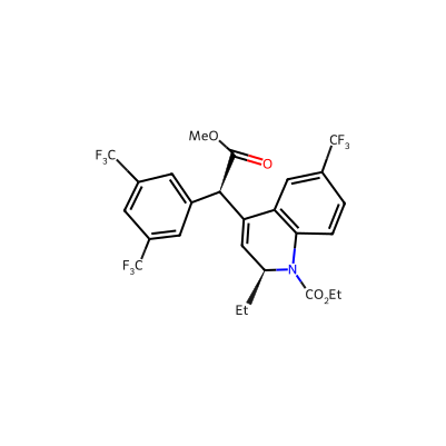 CCOC(=O)N1c2ccc(C(F)(F)F)cc2C([C@H](C(=O)OC)c2cc(C(F)(F)F)cc(C(F)(F)F)c2)=C[C@@H]1CC